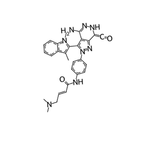 Cc1c(-c2c3c(nn2-c2ccc(NC(=O)/C=C/CN(C)C)cc2)C(=C=O)NN=C3N)n(C)c2ccccc12